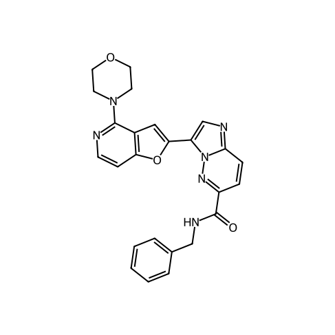 O=C(NCc1ccccc1)c1ccc2ncc(-c3cc4c(N5CCOCC5)nccc4o3)n2n1